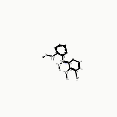 CONc1ccccc1/[N+](OC)=C1\CC=CC(Br)=C1OC